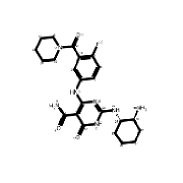 NC(=O)c1c(Nc2ccc(F)c(C(=O)N3CCCCC3)c2)nc(N[C@H]2CCCC[C@@H]2N)[nH]c1=O